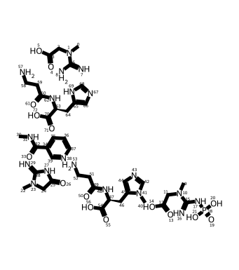 CN(CC(=O)O)C(=N)N.CN(CC(=O)O)C(=N)NP(=O)(O)O.CN1CC(=O)NC1=N.CNC(=O)c1cccnc1.Cn1cncc1C[C@H](NC(=O)CCN)C(=O)O.NCCC(=O)N[C@@H](Cc1cnc[nH]1)C(=O)O